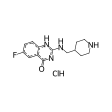 Cl.O=c1nc(NCC2CCNCC2)[nH]c2ccc(F)cc12